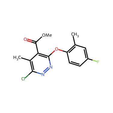 COC(=O)c1c(Oc2ccc(F)cc2C)nnc(Cl)c1C